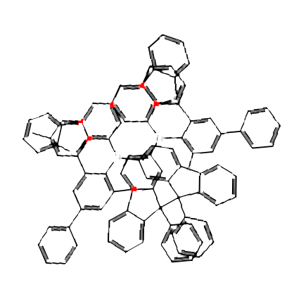 Cc1cccc(-c2cc(-c3ccccc3)cc(F)c2N(c2ccc3c(c2)C(c2ccccc2)(C2(c4ccccc4)c4ccccc4-c4ccc(N(c5c(F)cc(-c6ccccc6)cc5-c5ccccc5)c5cccc6c5oc5ccccc56)cc42)c2ccccc2-3)c2cccc3c2oc2ccccc23)c1